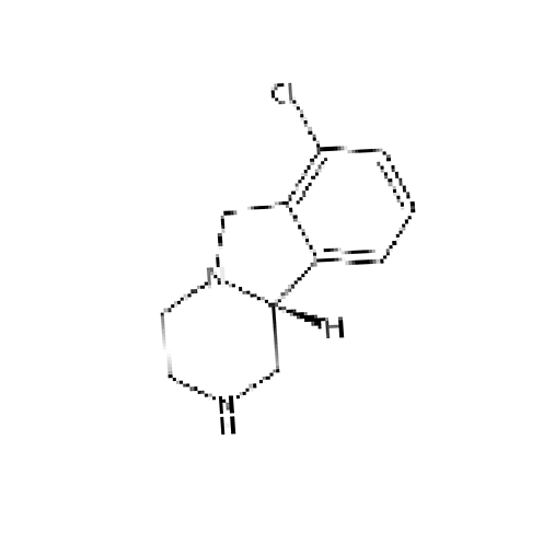 Clc1cccc2c1CN1CCNC[C@@H]21